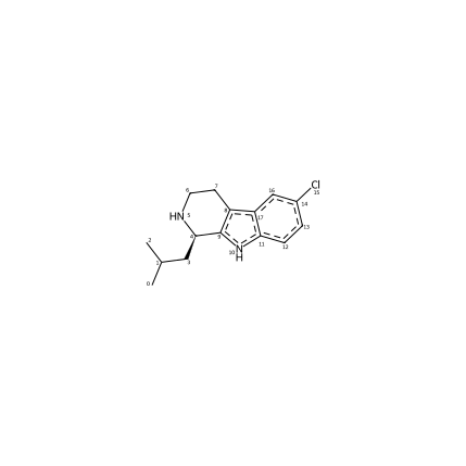 CC(C)C[C@H]1NCCc2c1[nH]c1ccc(Cl)cc21